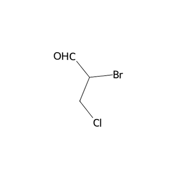 O=CC(Br)CCl